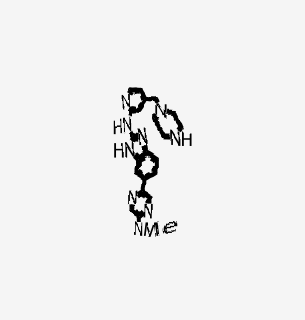 CNc1cnc(-c2ccc3nc(Nc4cc(CN5CCNCC5)ccn4)[nH]c3c2)cn1